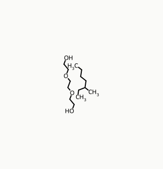 CCCCC(C)CC.OCCOCCOCCO